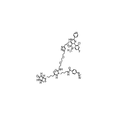 COC(=O)C1=C(COCc2cn(CCOCCOCCNC(=O)[C@H](CCCCNC(=O)c3ccc(N=[N+]=[N-])cc3)NC(=O)CCCC[C@@H]3SC[C@@H]4NC(=O)N[C@@H]43)nn2)NC(c2ccncc2)=NC1c1ccc(F)cc1Cl